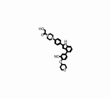 N#Cc1cc(-c2cccc3[nH]c(-c4ccc(N5CCN(C(=O)CO)CC5)cc4)cc23)ccc1OC1CCOCC1